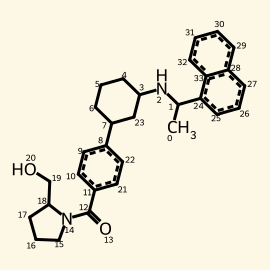 CC(NC1CCCC(c2ccc(C(=O)N3CCCC3CO)cc2)C1)c1cccc2ccccc12